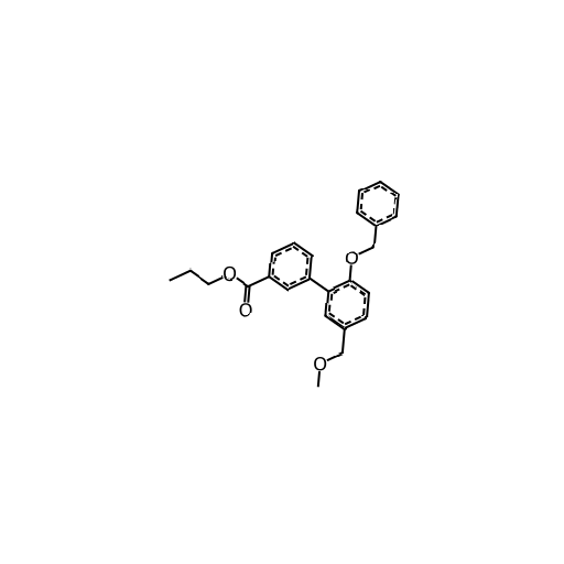 CCCOC(=O)c1cccc(-c2cc(COC)ccc2OCc2ccccc2)c1